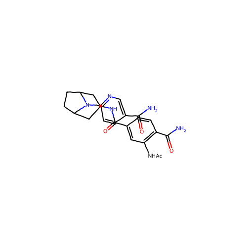 CC(=O)Nc1cc(C(=O)NC2CC3CCC(C2)N3c2ccc(C(N)=O)cn2)ccc1C(N)=O